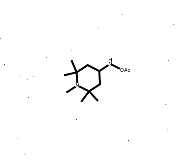 CC(=O)ONC1CC(C)(C)N(C)C(C)(C)C1